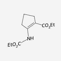 CCOC(=O)NC1=C(C(=O)OCC)CCC1